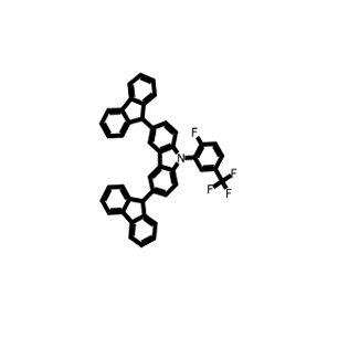 Fc1ccc(C(F)(F)F)cc1-n1c2ccc(C3c4ccccc4-c4ccccc43)cc2c2cc(C3c4ccccc4-c4ccccc43)ccc21